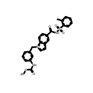 Cc1ccccc1S(=O)(=O)NC(=O)c1ccc2c(ccn2Cc2cccc(NC(=O)OC(C)C)c2)c1